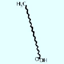 CCCCCCCCCCC=CC=CCCCCCCCCCCC(=O)O